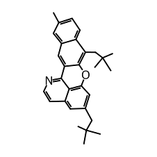 Cc1ccc2c(CC(C)(C)C)c3c(cc2c1)-c1nccc2cc(CC(C)(C)C)cc(c12)O3